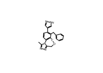 Cc1nnc2n1-c1ccc(-c3cn[nH]c3)c(Cc3ccccc3)c1COC2